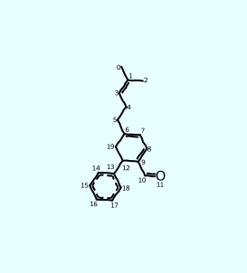 CC(C)=CCCC1=CC=C(C=O)C(c2ccccc2)C1